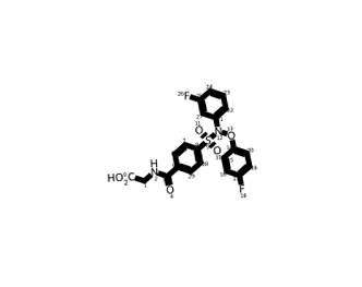 O=C(O)CNC(=O)c1ccc(S(=O)(=O)N(Oc2ccc(F)cc2)c2cccc(F)c2)cc1